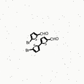 O=Cc1ccc(-c2ccc(Br)s2)s1.O=Cc1ccc(Br)s1